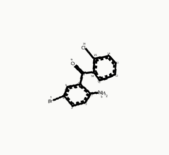 Nc1ccc(Br)cc1C(=O)c1ccccc1Cl